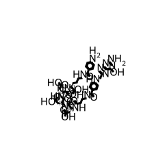 Nc1ccc(C(=O)NCCCC[C@H](NC(=O)[C@H](CC(=O)O)NC(=O)[C@H](CC(=O)O)NC(=O)[C@@H](CC(=O)O)NC(=O)CCCNC(=O)c2ccc(NCc3cnc4nc(N)nc(O)c4n3)cc2)C(=O)O)cc1